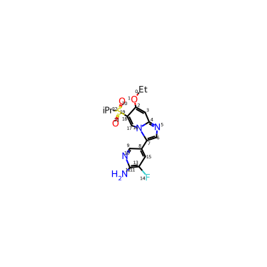 CCOc1cc2ncc(-c3cnc(N)c(F)c3)n2cc1S(=O)(=O)C(C)C